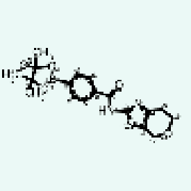 CC1(C)OB(c2ccc(C(=O)Nc3nc4c(s3)COCC4)cc2)OC1(C)C